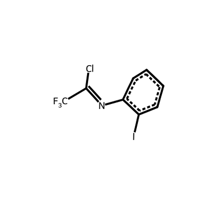 FC(F)(F)C(Cl)=Nc1ccccc1I